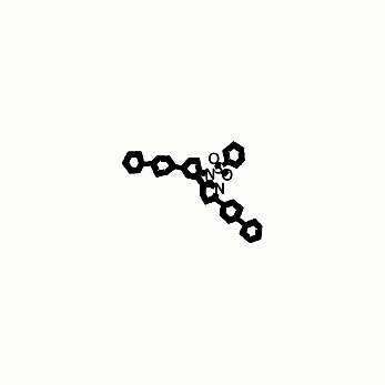 O=S(=O)(c1ccccc1)n1c2ccc(-c3ccc(-c4ccccc4)cc3)cc2c2ccc(-c3ccc(-c4ccccc4)cc3)nc21